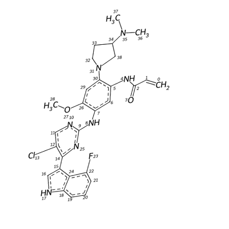 C=CC(=O)Nc1cc(Nc2ncc(Cl)c(-c3c[nH]c4cccc(F)c34)n2)c(OC)cc1N1CCC(N(C)C)C1